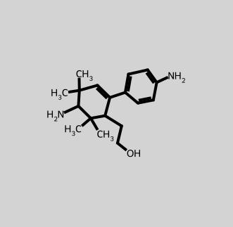 CC1(C)C=C(c2ccc(N)cc2)C(CCO)C(C)(C)C1N